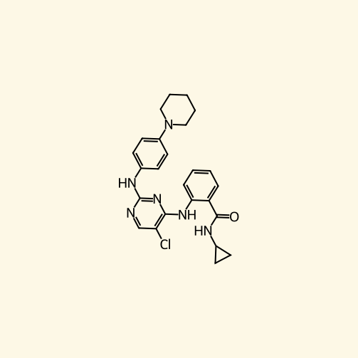 O=C(NC1CC1)c1ccccc1Nc1nc(Nc2ccc(N3CCCCC3)cc2)ncc1Cl